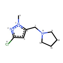 Cn1nc(Cl)cc1CN1CCCC1